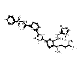 CC(C)CCN(C)c1ccc(-c2noc(-c3cccc(C(=O)NS(=O)(=O)c4ccccc4)c3)n2)cc1NCc1nccn1C